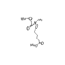 CCCN(OCCCC(=O)OC)C(=O)OC(C)(C)C